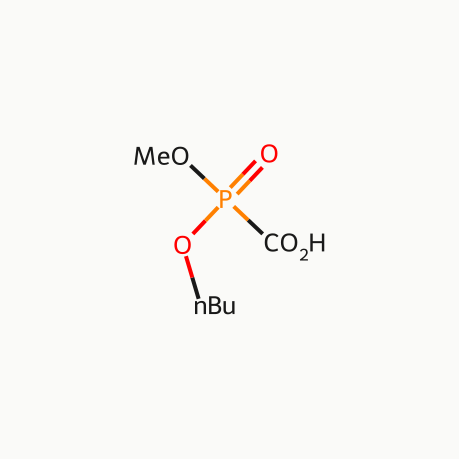 CCCCOP(=O)(OC)C(=O)O